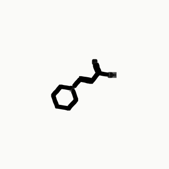 O=C(O)C=CN1CCCCC1